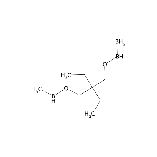 BBOCC(CC)(CC)COBC